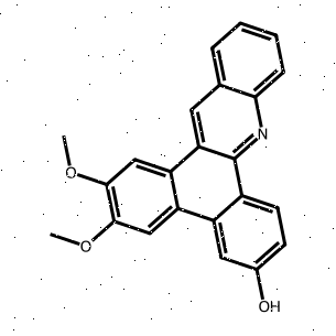 COc1cc2c3cc(O)ccc3c3nc4ccccc4cc3c2cc1OC